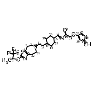 C[C@@H](Oc1nc2c(s1)CCN(CCC1CCC(/C=N/C(=O)COc3cnn(C)c3)CC1)CC2)C(F)(F)F